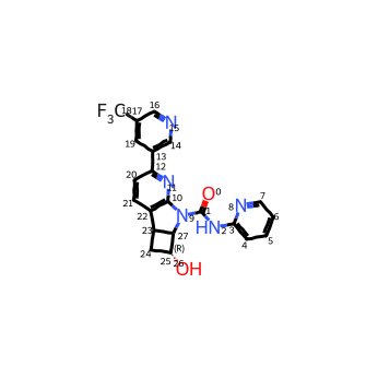 O=C(Nc1ccccn1)N1c2nc(-c3cncc(C(F)(F)F)c3)ccc2C2C[C@@H](O)C21